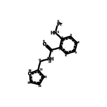 CC(C)Nc1ccccc1C(=O)NCc1ccco1